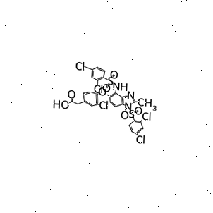 Cc1nc2c(NS(=O)(=O)c3ccc(Cl)cc3Cl)c(Oc3ccc(CC(=O)O)cc3Cl)ccc2n1S(=O)(=O)c1ccc(Cl)cc1Cl